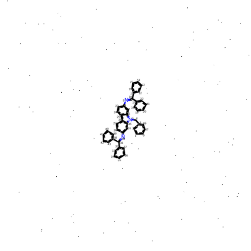 c1ccc(Cn2c3cc(N=C(c4ccccc4)c4ccccc4)ccc3c3ccc(N=C(c4ccccc4)c4ccccc4)cc32)cc1